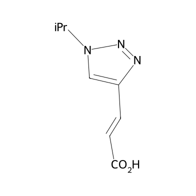 CC(C)n1cc(/C=C/C(=O)O)nn1